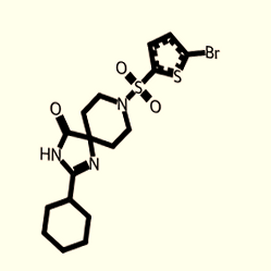 O=C1NC(C2CCCCC2)=NC12CCN(S(=O)(=O)c1ccc(Br)s1)CC2